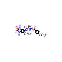 COc1cc2[nH]c(=O)c(=O)[nH]c2cc1NC(=O)C(N=NOC(=O)c1ccc(C(=O)O)cc1)C(C)=O